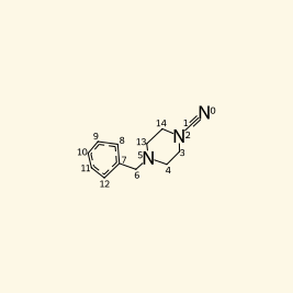 N#CN1CCN(Cc2ccccc2)CC1